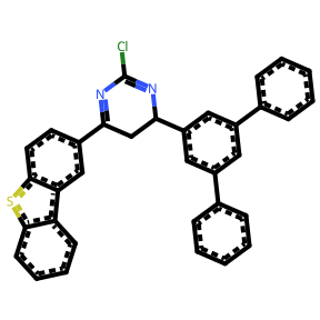 ClC1=NC(c2cc(-c3ccccc3)cc(-c3ccccc3)c2)CC(c2ccc3sc4ccccc4c3c2)=N1